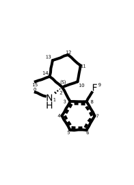 CN[C@@]1(c2ccccc2F)CCCCC1C